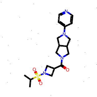 CC(C)S(=O)(=O)N1CC(C(=O)N2CC3CN(c4ccncc4)CC3C2)C1